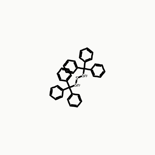 c1ccc([C]([Sn][S][Sn][C](c2ccccc2)(c2ccccc2)c2ccccc2)(c2ccccc2)c2ccccc2)cc1